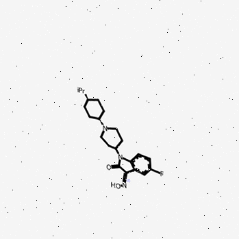 CC(C)[C@H]1CC[C@@H](N2CCC(N3C(=O)/C(=N\O)c4cc(F)ccc43)CC2)CC1